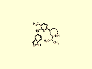 Cc1cnc(N2CCCNC(C(C)C)C2)nc1Nc1ccc2[nH]ncc2c1